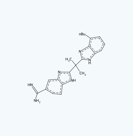 CCCCc1cccc2[nH]c(C(C)(C)c3nc4cc(C(=N)N)ccc4[nH]3)nc12